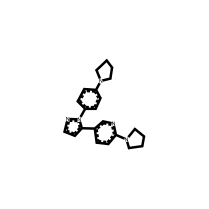 c1cc(-c2ccc(N3CCCC3)nc2)n(-c2ccc(N3CCCC3)cc2)n1